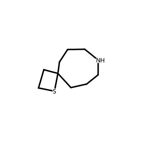 C1CNCCCC2(C1)CCS2